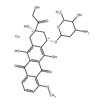 COc1cccc2c1C(=O)c1c(O)c3c(c(O)c1C2=O)C[C@@](O)(C(=O)CO)C[C@@H]3OC1CC(N)C(O)C(C)O1.[Cu]